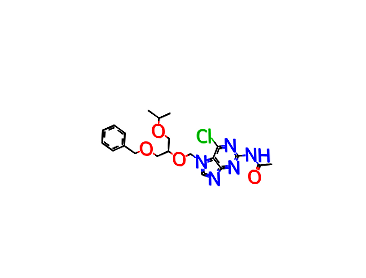 CC(=O)Nc1nc(Cl)c2c(ncn2COC(COCc2ccccc2)COC(C)C)n1